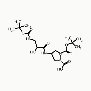 CC(C)(C)OC(=O)NCC(O)C(=O)NC1C[C@@H](C(=O)O)N(C(=O)OC(C)(C)C)C1